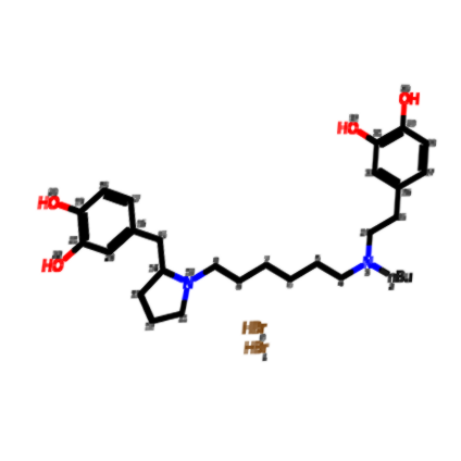 Br.Br.CCCCN(CCCCCCN1CCCC1Cc1ccc(O)c(O)c1)CCc1ccc(O)c(O)c1